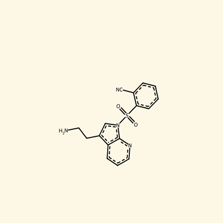 N#Cc1ccccc1S(=O)(=O)n1cc(CCN)c2cccnc21